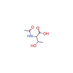 CC(=O)NC(C(=O)O)C(C)O